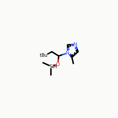 Cc1cncn1C(CC(C)(C)C)O[SiH](C)C